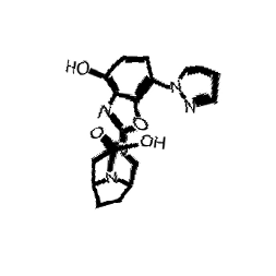 O=C(O)N1C2CCC1CN(c1nc3c(O)ccc(-n4cccn4)c3o1)C2